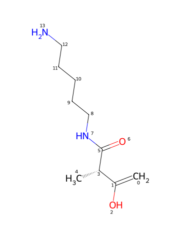 C=C(O)[C@H](C)C(=O)NCCCCCN